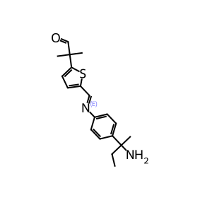 CCC(C)(N)c1ccc(/N=C/c2ccc(C(C)(C)C=O)s2)cc1